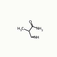 CC(C=N)C(N)=O